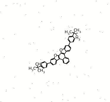 CC(C)(C)c1ccc(-c2ccc3c(c2)oc2c4oc5cc(-c6ccc(C(C)(C)C)cc6)ccc5c4c4ccccc4c32)cc1